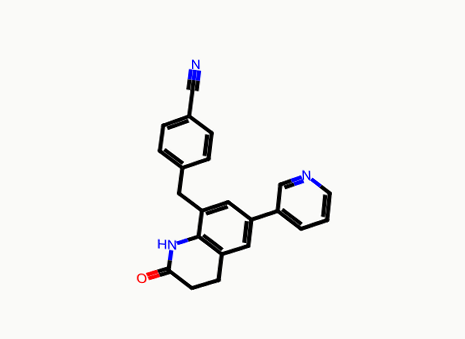 N#Cc1ccc(Cc2cc(-c3cccnc3)cc3c2NC(=O)CC3)cc1